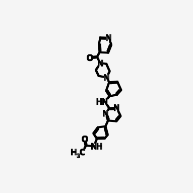 CC(=O)Nc1ccc(-c2ccnc(Nc3cccc(N4CCN(C(=O)c5ccncc5)CC4)c3)n2)cc1